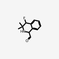 CC1(C)NC(C=O)c2ccccc2C1F